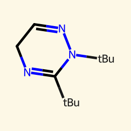 CC(C)(C)C1=NCC=NN1C(C)(C)C